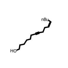 CCCC/C=C\CCC#CCCCCCCO